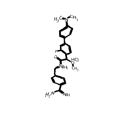 COC(C(=O)NCc1ccc(C(=N)N)cc1)c1ccc(-c2ccc(N(C)C)cc2)cc1F.Cl